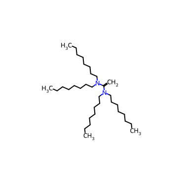 C=C(N(CCCCCCCC)CCCCCCCC)N(CCCCCCCC)CCCCCCCC